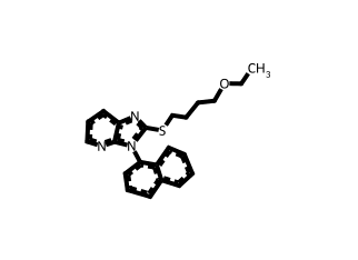 CCOCCCCSc1nc2cccnc2n1-c1cccc2ccccc12